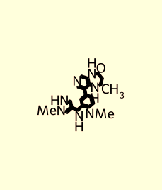 CN/C=C(\C=N)C(=N)c1cc(-c2cncc3c2N[C@H](C)CC(=O)N3)ccc1NC